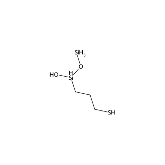 O[SiH](CCCS)O[SiH3]